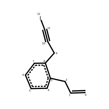 C=CCc1ccccc1CC#CI